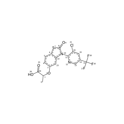 CC(Oc1ccc2sc(=O)n(-c3ncc(C(F)(F)F)cc3Cl)c2c1)C(=O)O